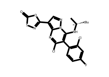 C[C@@H](Nc1c(-c2ccc(F)cc2Cl)c(Cl)nc2c(-c3nsc(=O)o3)cnn12)C(C)(C)C